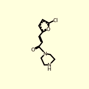 O=C(C=Cc1ccc(Cl)o1)N1CCNCC1